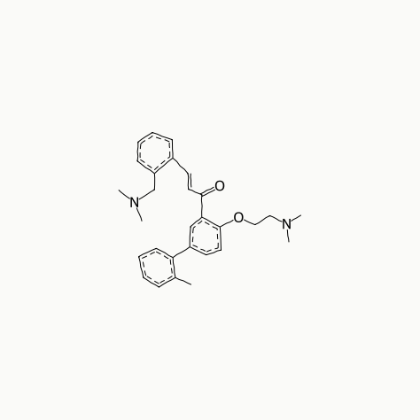 Cc1ccccc1-c1ccc(OCCN(C)C)c(C(=O)C=Cc2ccccc2CN(C)C)c1